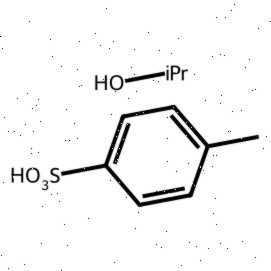 CC(C)O.Cc1ccc(S(=O)(=O)O)cc1